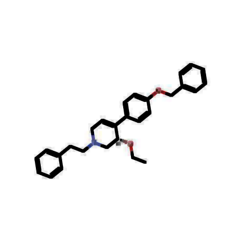 CCO[C@@H]1CN(CCc2ccccc2)CC=C1c1ccc(OCc2ccccc2)cc1